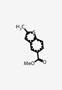 [CH2]c1cc2cc(C(=O)OC)ccc2s1